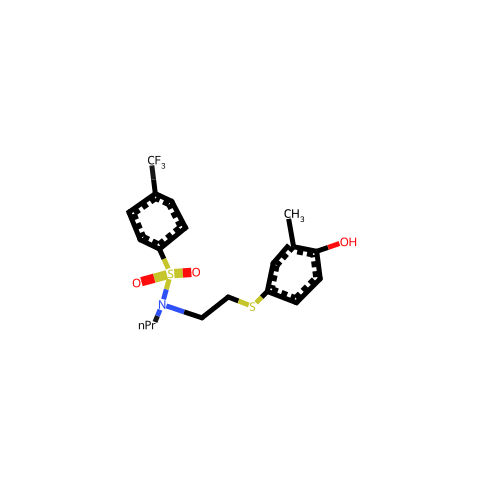 CCCN(CCSc1ccc(O)c(C)c1)S(=O)(=O)c1ccc(C(F)(F)F)cc1